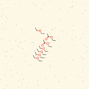 CCOC(C)=O.CCOC(C)=O.CCOCC.CCOCC.CCOCC.CCOCC.CCOCC